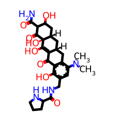 CN(C)c1cc(CNC(=O)C2CCCN2)c(O)c2c1C[C@H]1C[C@H]3CC(O)C(C(N)=O)C(=O)[C@@]3(O)C(O)=C1C2=O